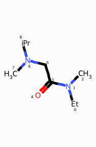 CCN(C)C(=O)CN(C)C(C)C